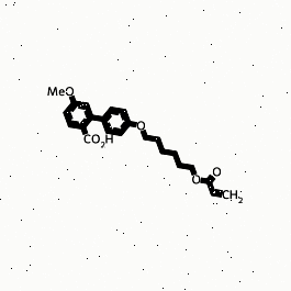 C=CC(=O)OCCCCCCOc1ccc(-c2cc(OC)ccc2C(=O)O)cc1